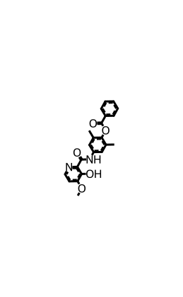 COc1ccnc(C(=O)Nc2cc(C)c(OC(=O)c3ccccc3)c(C)c2)c1O